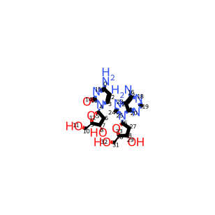 Nc1ccn([C@H]2C[C@H](O)[C@@H](CO)O2)c(=O)n1.Nc1ncnc2c1ncn2[C@H]1C[C@H](O)[C@@H](CO)O1